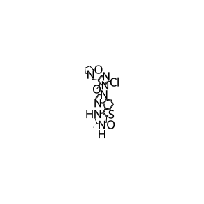 C[C@@H]1CNc2c(sc3ccc4nc(Oc5nc(Cl)ncc5CN5CCCC5=O)cnc4c23)C(=O)N1